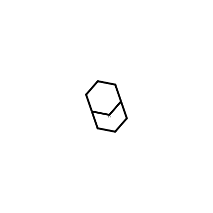 [C]1C2CCCC1CCC2